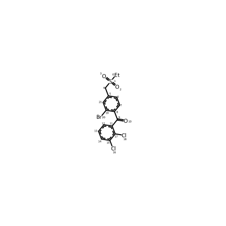 CCS(=O)(=O)Cc1ccc(C(=O)c2cccc(Cl)c2Cl)c(Br)c1